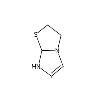 [C]1=CN2CCSC2N1